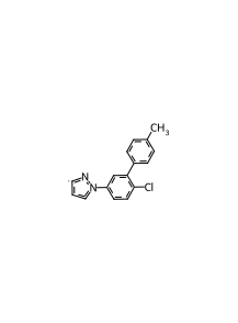 Cc1ccc(-c2cc(-n3cc[c]n3)ccc2Cl)cc1